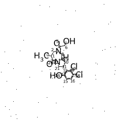 CC1CN(C(=O)CO)C[C@@H]2C[C@H](c3c(O)ccc(Cl)c3Cl)CN2C1=O